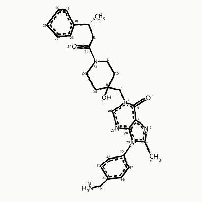 Cc1nc2c(=O)n(CC3(O)CCN(C(=O)C[C@@H](C)c4ccccc4)CC3)cnc2n1-c1ccc(CN)cc1